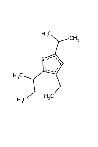 CCc1cc(C(C)C)sc1C(C)CC